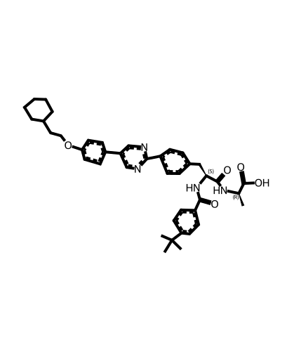 C[C@@H](NC(=O)[C@H](Cc1ccc(-c2ncc(-c3ccc(OCCC4CCCCC4)cc3)cn2)cc1)NC(=O)c1ccc(C(C)(C)C)cc1)C(=O)O